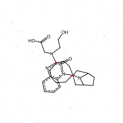 O=C(O)CN(CCO)c1nc2ccccc2n(C2CC3CCC(C2)N3C2CCCCCCC2)c1=O